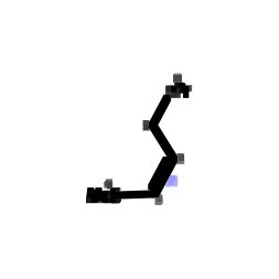 CCCC/C=C\SC